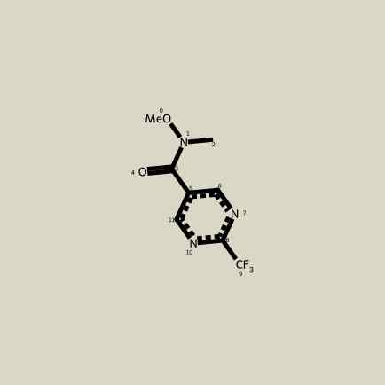 CON(C)C(=O)c1cnc(C(F)(F)F)nc1